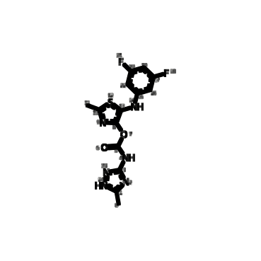 Cc1nc(NC(=O)Oc2nc(C)sc2Nc2cc(F)cc(F)c2)n[nH]1